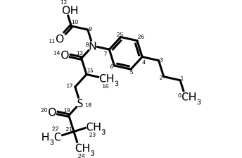 CCCCc1ccc(N(CC(=O)O)C(=O)C(C)CSC(=O)C(C)(C)C)cc1